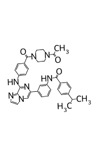 CC(=O)N1CCN(C(=O)c2ccc(Nc3nc(-c4cccc(NC(=O)c5ccc(C(C)C)cc5)c4)cn4ccnc34)cc2)CC1